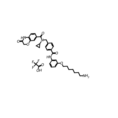 NCCCCCCCOc1cccc(NC(=O)c2ccc(CN(C(=O)c3ccc4c(c3)OCC(=O)N4)C3CC3)cc2)c1.O=C(O)C(F)(F)F